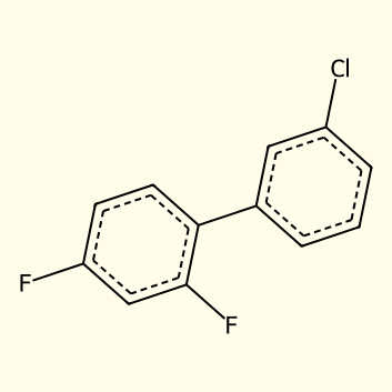 Fc1ccc(-c2cccc(Cl)c2)c(F)c1